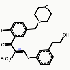 CCOC(=O)/C(=C\Nc1cccc(CCO)c1)C(=O)c1cc(CN2CCOCC2)ccc1F